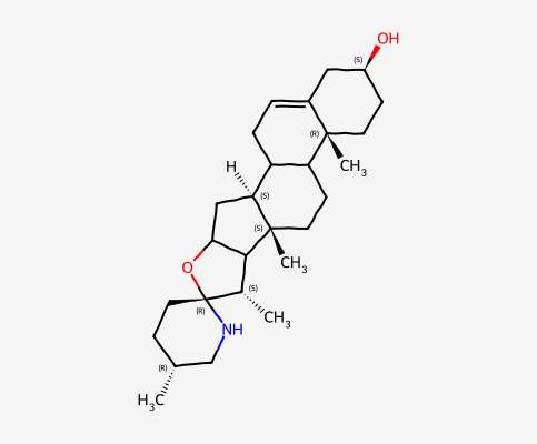 C[C@@H]1CC[C@@]2(NC1)OC1C[C@H]3C4CC=C5C[C@@H](O)CC[C@]5(C)C4CC[C@]3(C)C1[C@@H]2C